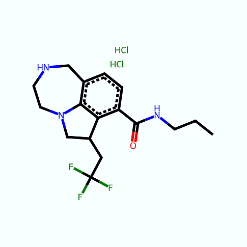 CCCNC(=O)c1ccc2c3c1C(CC(F)(F)F)CN3CCNC2.Cl.Cl